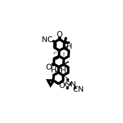 CC1(C)C(=O)C(C#N)=C[C@]2(C)C3=CC(=O)[C@@H]4[C@@H]5CC6(CC6)CC[C@]5(CS(C)(=O)=NC#N)CC[C@@]4(C)[C@]3(C)CC[C@@H]12